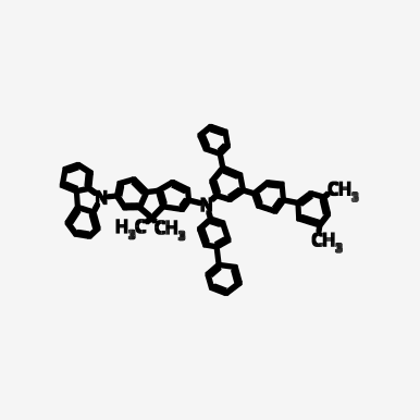 Cc1cc(C)cc(-c2ccc(-c3cc(-c4ccccc4)cc(N(c4ccc(-c5ccccc5)cc4)c4ccc5c(c4)C(C)(C)c4cc(-n6c7ccccc7c7ccccc76)ccc4-5)c3)cc2)c1